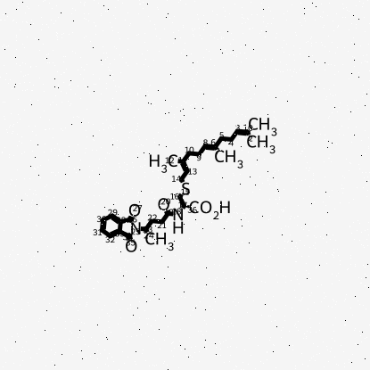 CC(C)=CCC/C(C)=C/CC/C(C)=C/CSC[C@H](NC(=O)CCC(C)N1C(=O)c2ccccc2C1=O)C(=O)O